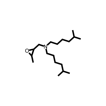 CC(C)CCCCN(CCCCC(C)C)CC1OC1C